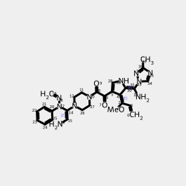 C=C/C(OC)=c1/c(C(=O)C(=O)N2CCN(/C(=C/N)N(N=C)c3ccccc3)CC2)c[nH]/c1=C(/N)n1cnc(C)n1